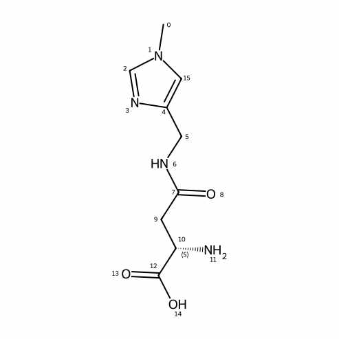 Cn1cnc(CNC(=O)C[C@H](N)C(=O)O)c1